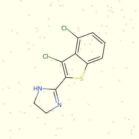 Clc1cccc2sc(C3=NCCN3)c(Cl)c12